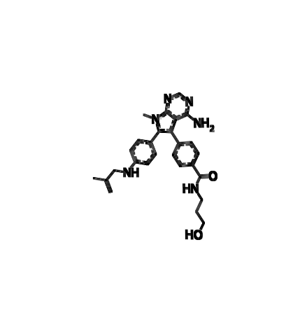 C=C(C)CNc1ccc(-c2c(-c3ccc(C(=O)NCCCO)cc3)c3c(N)ncnc3n2C)cc1